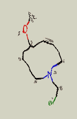 CCOC1CCN(CBr)CC1